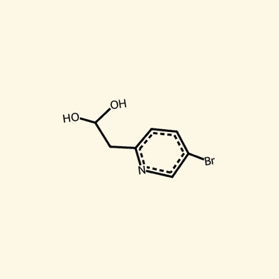 OC(O)Cc1ccc(Br)cn1